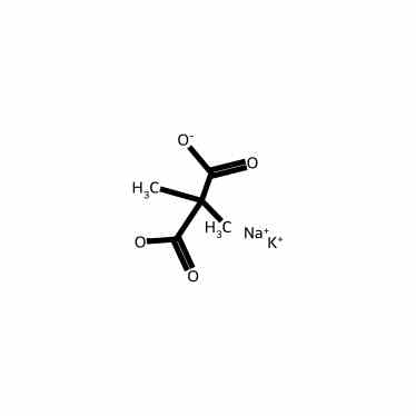 CC(C)(C(=O)[O-])C(=O)[O-].[K+].[Na+]